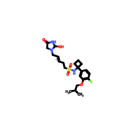 CC(C)COc1cc(C2(NS(=O)(=O)CC/C=C/CN3CC(=O)NC3O)CCC2)ccc1F